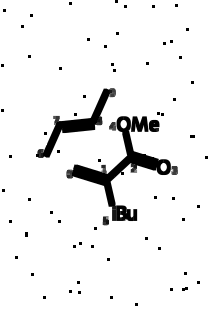 C=C(C(=O)OC)C(C)CC.CC=CC